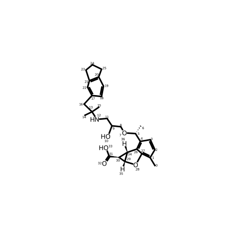 Cc1ccc([C@@H](C)OCC(O)CNC(C)(C)Cc2ccc3c(c2)CCC3)c2c1O[C@@H]1[C@@H](C(=O)O)[C@H]21